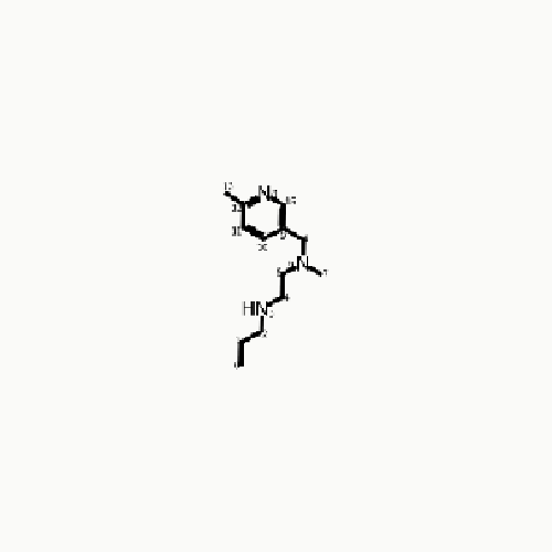 CCCNCCN(C)Cc1ccc(C)nc1